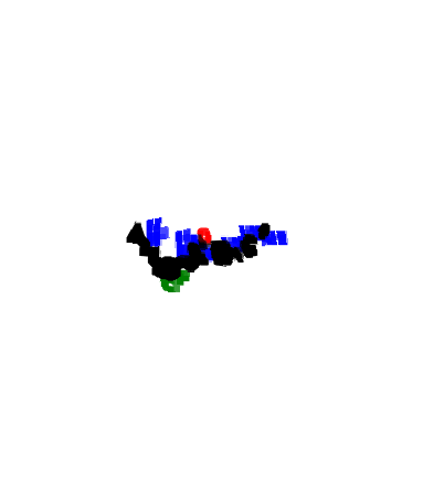 C=C[C@@H](CCNC(C)=N)N[C@@H](C)c1ccc(-n2cc3cc(-c4cc(CCCC(N)C5CC5)cc(Cl)c4F)[nH]c3nc2=O)cc1